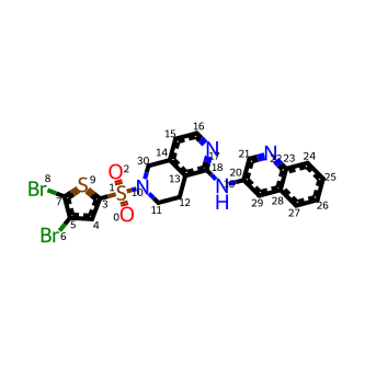 O=S(=O)(c1cc(Br)c(Br)s1)N1CCc2c(ccnc2Nc2cnc3ccccc3c2)C1